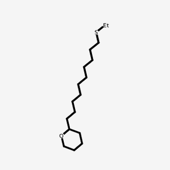 CCSCCCCCCCCCCC1CCCCO1